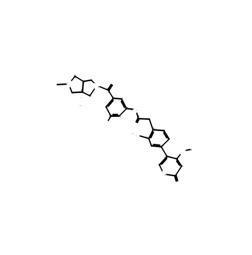 CCOc1cc(=O)[nH]cc1-c1ccc(CC(=O)Nc2cc(C(=O)N3C[C@H]4CN(C)C[C@H]4C3)cc(C(F)(F)F)c2)c(F)c1